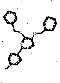 Fc1ccc(-c2ccc(OCc3ccccc3)c(OCc3ccccc3)n2)cc1